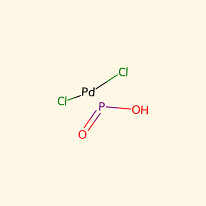 O=PO.[Cl][Pd][Cl]